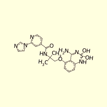 CC(C)(COc1cccc2c1C(N)=NS(O)(O)N2)NC(=O)c1ccnc(-n2ccnc2)c1